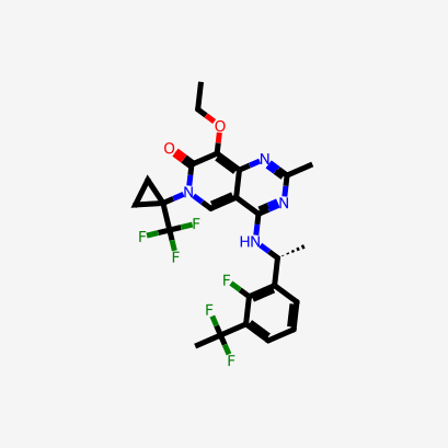 CCOc1c(=O)n(C2(C(F)(F)F)CC2)cc2c(N[C@H](C)c3cccc(C(C)(F)F)c3F)nc(C)nc12